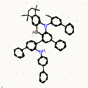 Cc1ccc(-c2ccccc2)cc1N1c2cc3c(cc2Bc2c(-c4ccc(-c5ccccc5)cc4Nc4ccc(-c5ccccc5)cc4)cc(-c4ccccc4)cc21)C(C)(C)CCC3(C)C